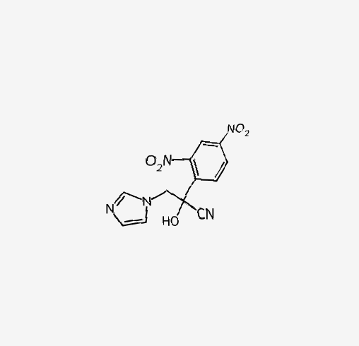 N#CC(O)(Cn1ccnc1)c1ccc([N+](=O)[O-])cc1[N+](=O)[O-]